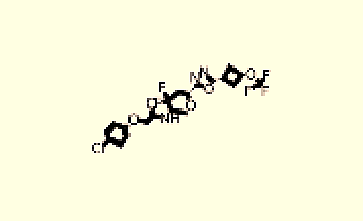 O=C(COc1ccc(Cl)cc1)N[C@@H]1CO[C@@H](c2nnc([C@H]3C[C@@H](OC(F)(F)F)C3)o2)CC1(F)F